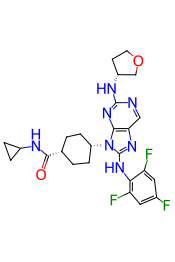 O=C(NC1CC1)[C@H]1CC[C@@H](n2c(Nc3c(F)cc(F)cc3F)nc3cnc(N[C@@H]4CCOC4)nc32)CC1